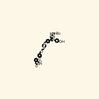 CCCCNc1ncc2c(-c3ccc(CN4CCN(CCOCc5ccc(Oc6cccc7c6C(=O)NC(=O)C7)cc5)CC4)cc3)cn(C3CCC(O)CC3)c2n1